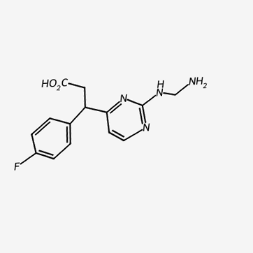 NCNc1nccc(C(CC(=O)O)c2ccc(F)cc2)n1